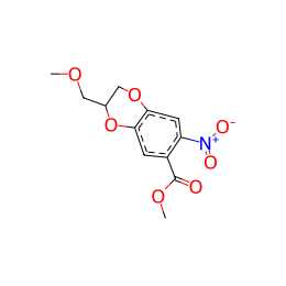 COCC1COc2cc([N+](=O)[O-])c(C(=O)OC)cc2O1